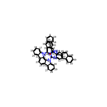 c1ccc(-c2cc(-c3ccccc3)cc(-n3c4ccccc4c4ccc5c6ccccc6n(-c6nc(-c7ccccc7)nc(-c7ccc8ccccc8c7)n6)c5c43)c2)cc1